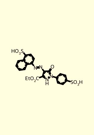 CCOC(=O)c1[nH]n(-c2ccc(S(=O)(=O)O)cc2)c(=O)c1N=Nc1ccc(S(=O)(=O)O)c2ccccc12